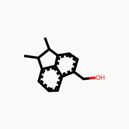 CC1c2cccc3c(CO)ccc(c23)C1C